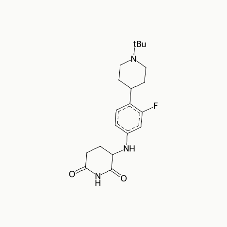 CC(C)(C)N1CCC(c2ccc(NC3CCC(=O)NC3=O)cc2F)CC1